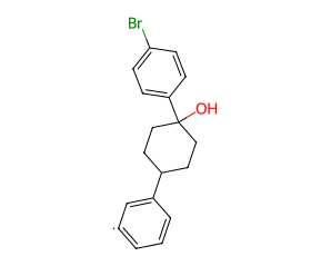 OC1(c2ccc(Br)cc2)CCC(c2c[c]ccc2)CC1